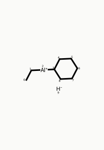 C[CH2][Al+][CH]1CCCCC1.[H-]